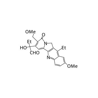 CCc1c2c(nc3ccc(OC)cc13)-c1cc(C(O)(C=O)CC)c(COC)c(=O)n1C2